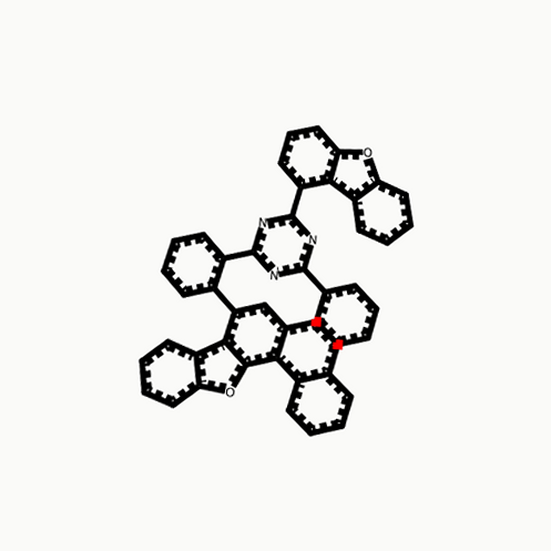 c1ccc(-c2nc(-c3ccccc3-c3cc4ccc5ccccc5c4c4oc5ccccc5c34)nc(-c3cccc4oc5ccccc5c34)n2)cc1